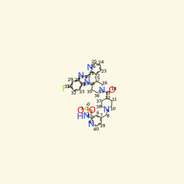 CS(=O)(=O)Nc1cc(CN2CCC(C(=O)N3CCC(n4c(-c5ccccn5)nc5cc(F)ccc54)CC3)CC2)ccn1